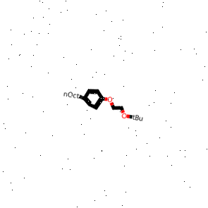 CCCCCCCCc1ccc(OCCOC(C)(C)C)cc1